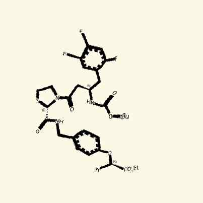 CCOC(=O)[C@H](Oc1ccc(CNC(=O)[C@@H]2SCCN2C(=O)C[C@@H](Cc2cc(F)c(F)cc2F)NC(=O)OC(C)(C)C)cc1)C(C)C